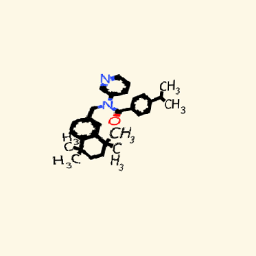 CC(C)c1ccc(C(=O)N(Cc2ccc3c(c2)C(C)(C)CCC3(C)C)c2cccnc2)cc1